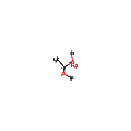 CCO[SiH](C)OCC.O